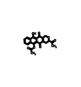 CC(=O)Oc1c2c(c(O)c3ccccc13)C(=O)C1=C(CC(C(C)=O)OC1)C2=O